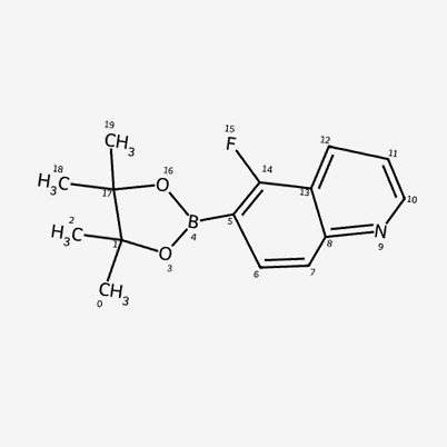 CC1(C)OB(c2ccc3ncccc3c2F)OC1(C)C